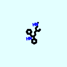 C=CC(CCNC)CCc1c(-c2ccccc2)[nH]c2ccccc12